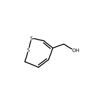 OCC1=CSSCC=C1